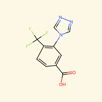 O=C(O)c1ccc(C(F)(F)F)c(-n2cnnc2)c1